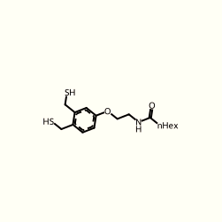 CCCCCCC(=O)NCCOc1ccc(CS)c(CS)c1